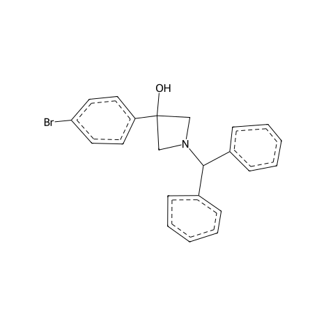 OC1(c2ccc(Br)cc2)CN(C(c2ccccc2)c2ccccc2)C1